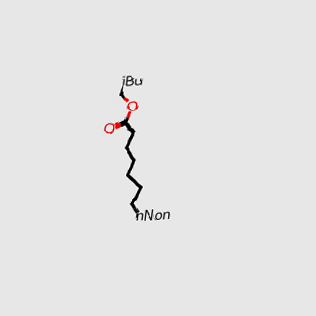 CCCCCCCCCCCCCCCC(=O)OC[C@H](C)CC